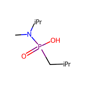 CC(C)CP(=O)(O)N(C)C(C)C